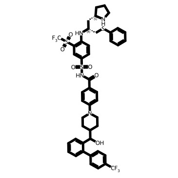 O=C(NS(=O)(=O)c1ccc(N[C@@H](CSc2ccccc2)C[C@@H]2CCCN2)c(S(=O)(=O)C(F)(F)F)c1)c1ccc(N2CCC(C(O)c3ccccc3-c3ccc(C(F)(F)F)cc3)CC2)cc1